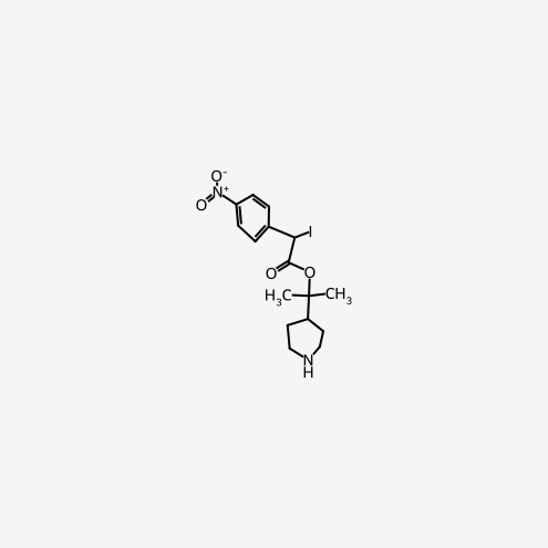 CC(C)(OC(=O)C(I)c1ccc([N+](=O)[O-])cc1)C1CCNCC1